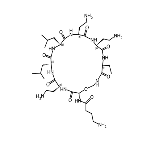 CC[C@@H]1NC(=O)[C@H](CCN)NC(=O)[C@H](CCN)NC(=O)[C@H](CC(C)C)NC(=O)[C@@H](CC(C)C)NC(=O)[C@H](CCN)NC(=O)C(NC(=O)CCCN)CCNC1=O